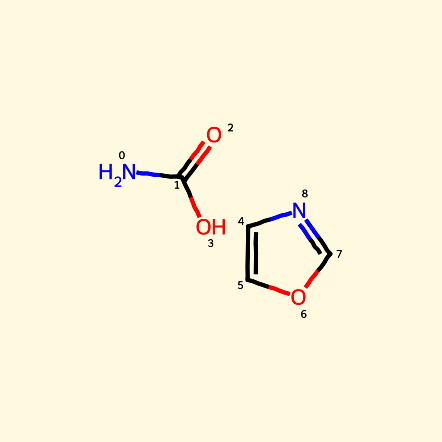 NC(=O)O.c1cocn1